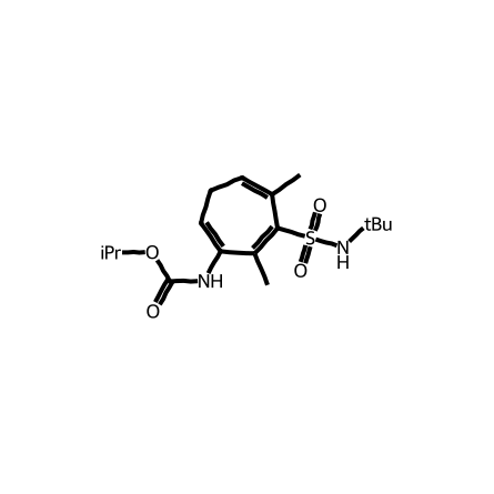 CC1=CCC=C(NC(=O)OC(C)C)C(C)=C1S(=O)(=O)NC(C)(C)C